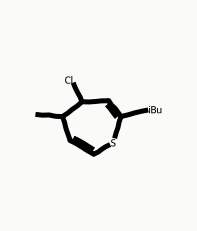 CCC(C)C1=CC(Cl)C(C)C=CS1